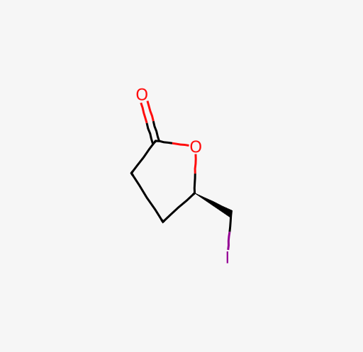 O=C1CC[C@H](CI)O1